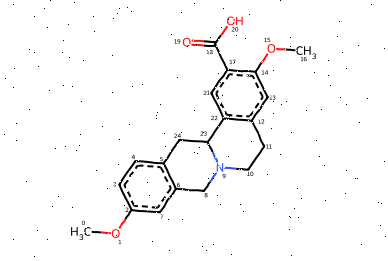 COc1ccc2c(c1)CN1CCc3cc(OC)c(C(=O)O)cc3C1C2